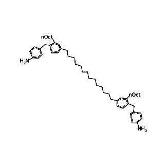 CCCCCCCCc1cc(CCCCCCCCCCCCCCc2ccc(Cc3ccc(N)cc3)c(CCCCCCCC)c2)ccc1Cc1ccc(N)cc1